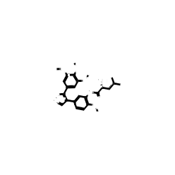 COc1ccc(-c2cnsc2-c2cc(OC)c(OC)c(OC)c2)cc1NC(=O)C(N)CC(C)C